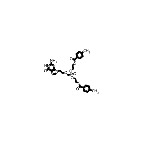 Cc1ccc(C(=O)SCCOP(=O)(COCCn2cnc3c(=O)[nH]c(N)nc32)OCCSC(=O)c2ccc(C)cc2)cc1